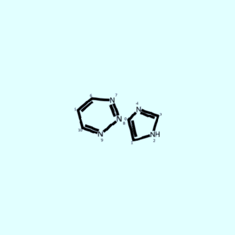 c1c[nH]cn1.c1cnnnc1